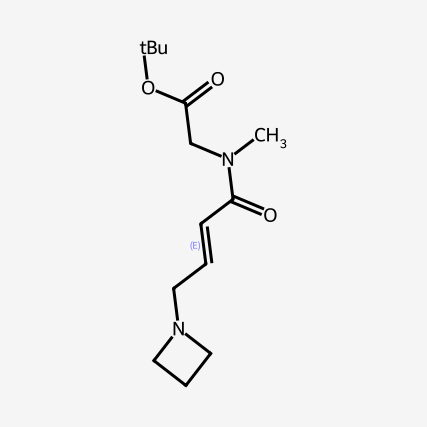 CN(CC(=O)OC(C)(C)C)C(=O)/C=C/CN1CCC1